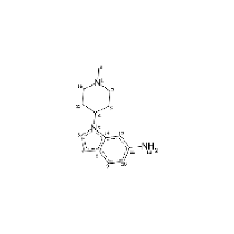 CN1CCC(n2ccc3ccc(N)cc32)CC1